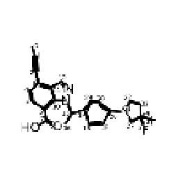 CC#Cc1ccc(C(=O)O)c2c1cnn2C(C)c1ccc(N2CCC(F)(F)C2)cc1